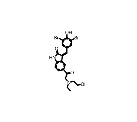 CCN(CCO)CC(=O)c1ccc2c(c1)/C(=C/c1cc(Br)c(O)c(Br)c1)C(=O)N2